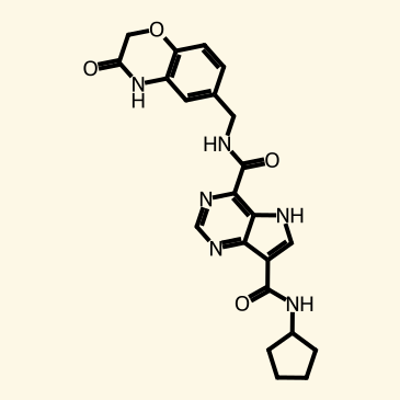 O=C1COc2ccc(CNC(=O)c3ncnc4c(C(=O)NC5CCCC5)c[nH]c34)cc2N1